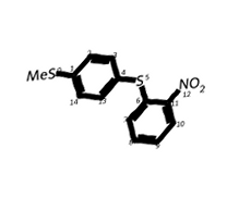 CSc1ccc(Sc2ccccc2[N+](=O)[O-])cc1